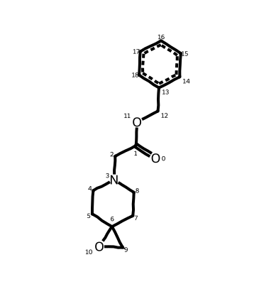 O=C(CN1CCC2(CC1)CO2)OCc1ccccc1